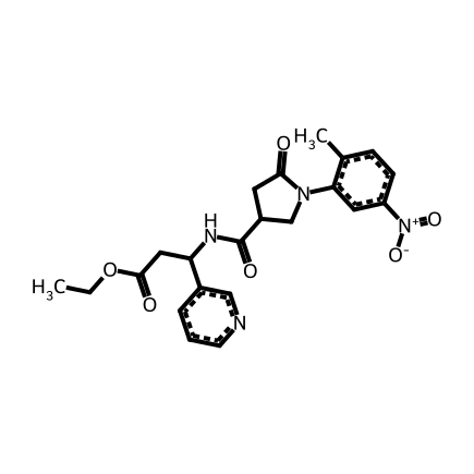 CCOC(=O)CC(NC(=O)C1CC(=O)N(c2cc([N+](=O)[O-])ccc2C)C1)c1cccnc1